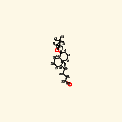 CC12CCCC(O[Si](C)(C)C(C)(C)C)C1CCCC2CCCC=O